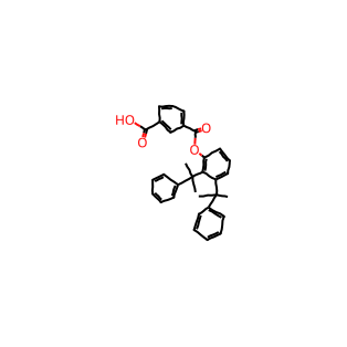 CC(C)(c1ccccc1)c1cccc(OC(=O)c2cccc(C(=O)O)c2)c1C(C)(C)c1ccccc1